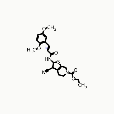 CCOC(=O)N1CCC2=C(C1)SC(NC(=O)/C=C/c1cc(OC)ccc1OC)C2C#N